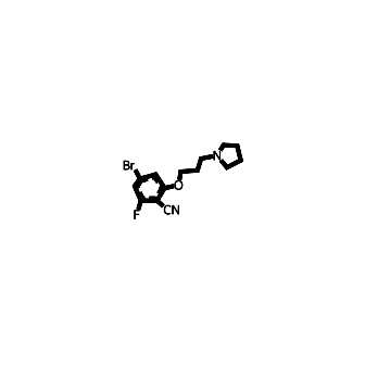 N#Cc1c(F)cc(Br)cc1OCCCN1CCCC1